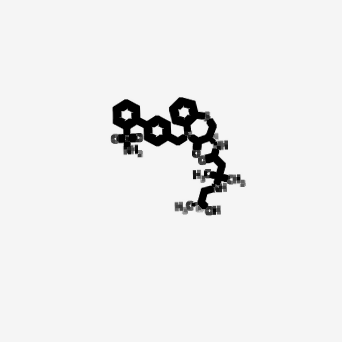 C[C@@H](O)CNC(C)(C)CC(=O)N[C@@H]1CSc2ccccc2N(Cc2ccc(-c3ccccc3S(N)(=O)=O)cc2)C1=O